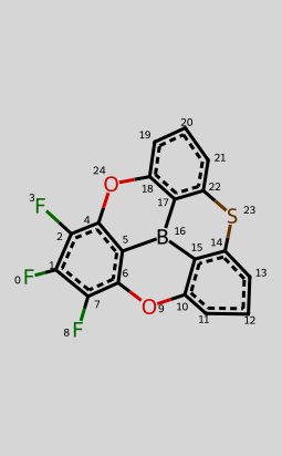 Fc1c(F)c2c3c(c1F)Oc1cccc4c1B3c1c(cccc1S4)O2